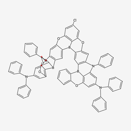 Clc1cc2c3c(c1)Oc1cc4c(cc1B3c1cc3c(cc1O2)N(c1ccccc1)c1cc(N(c2ccccc2)c2ccccc2)cc2c1B3c1ccccc1O2)B1c2ccccc2Oc2cc(N(c3ccccc3)c3ccccc3)cc(c21)N4c1ccccc1